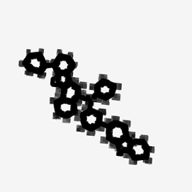 c1ccc(-c2cccc3c2oc2c4ccccc4c(N(c4ccccc4)c4cccc(-c5ccc6c(c5)sc5ccccc56)c4)cc32)cc1